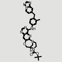 Cc1cc(Nc2ncnc3cc4c(nc23)N2CCN(C(=O)OC(C)(C)C)[C@H](CO4)C2)ccc1Cc1ccn2ncnc2c1